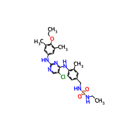 CCNS(=O)(=O)NCc1ccc(Nc2nc(Nc3cc(C)c(OCC)c(C)c3)ncc2Cl)c(C)c1